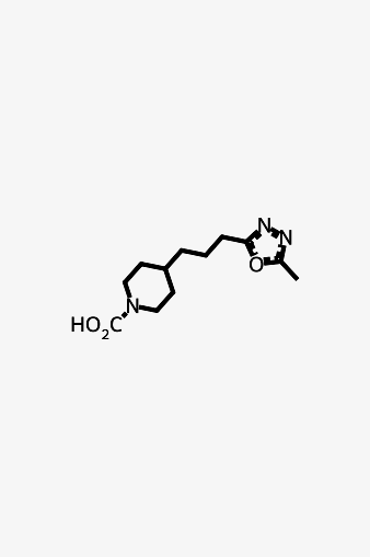 Cc1nnc(CCCC2CCN(C(=O)O)CC2)o1